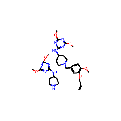 C=CCOc1cc(CN2CCC(Nc3nc(OC)nc(OC)n3)CC2)ccc1OC.COc1nc(NC2CCNCC2)nc(OC)n1